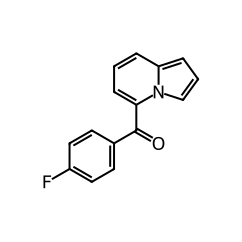 O=C(c1ccc(F)cc1)c1cccc2cccn12